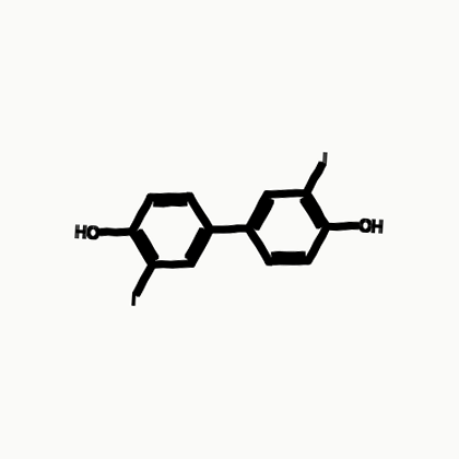 Oc1ccc(-c2ccc(O)c(I)c2)cc1I